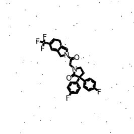 O=C(CN1CCC(c2ccc(F)cc2)(c2ccc(F)cc2)C1=O)N1C=C2CC=C(C(F)(F)F)C=C2C1